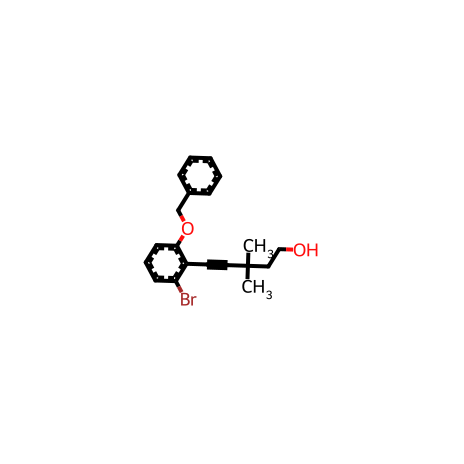 CC(C)(C#Cc1c(Br)cccc1OCc1ccccc1)CCO